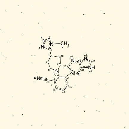 Cn1cnnc1C1CCN(c2c(C#N)cccc2-c2cnc3nc[nH]c3c2)CC1